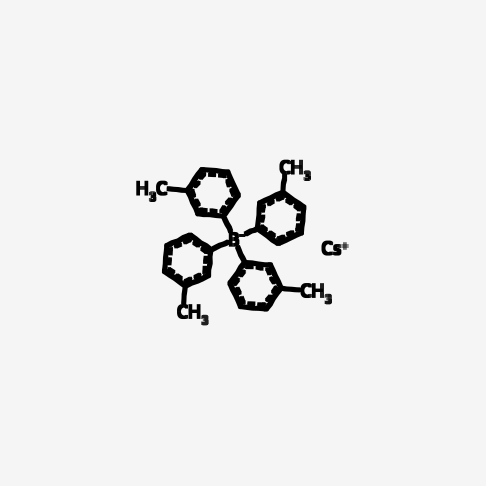 Cc1cccc([B-](c2cccc(C)c2)(c2cccc(C)c2)c2cccc(C)c2)c1.[Cs+]